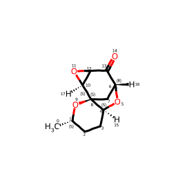 C[C@H]1CC[C@@H]2O[C@@H]3C[C@@]2(O1)[C@H]1OC1C3=O